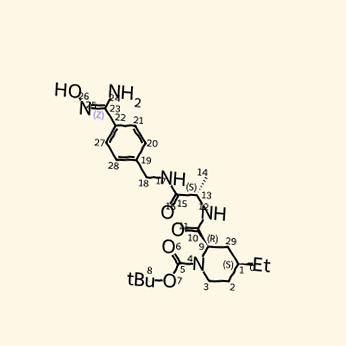 CC[C@H]1CCN(C(=O)OC(C)(C)C)[C@@H](C(=O)N[C@@H](C)C(=O)NCc2ccc(/C(N)=N/O)cc2)C1